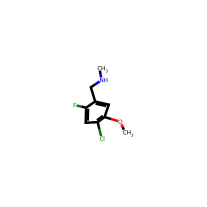 CNCc1cc(OC)c(Cl)cc1F